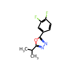 CC(C)c1nnc(-c2ccc(F)c(F)c2)o1